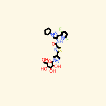 O=C(Nc1cn(C2CCCCC2)nc1-c1nc(F)ccc1F)c1csc(-c2cnn(C3OC(CO)C(O)C(O)C3O)c2)n1